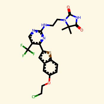 CC1(C)C(=O)NC(=O)N1CCNc1ncc(C(F)(F)F)c(-c2cc3cc(OCCCl)ccc3s2)n1